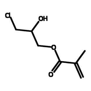 C=C(C)C(=O)OCC(O)CCl